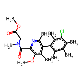 BOC(=O)CN(B)C(=O)c1nc(B)c(-c2c(B)c(B)c(B)c(Cl)c2B)c(B)c1OB